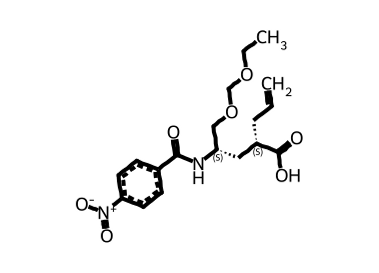 C=CC[C@@H](C[C@@H](COCOCC)NC(=O)c1ccc([N+](=O)[O-])cc1)C(=O)O